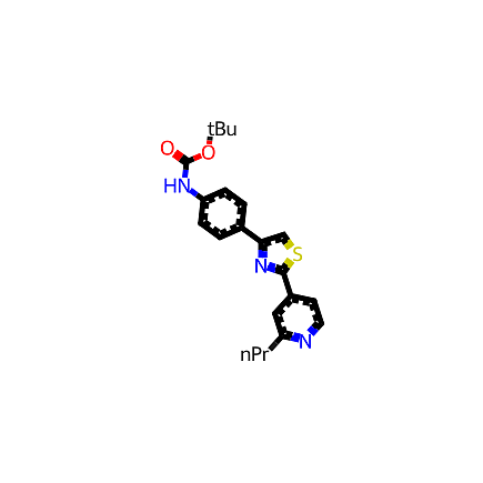 CCCc1cc(-c2nc(-c3ccc(NC(=O)OC(C)(C)C)cc3)cs2)ccn1